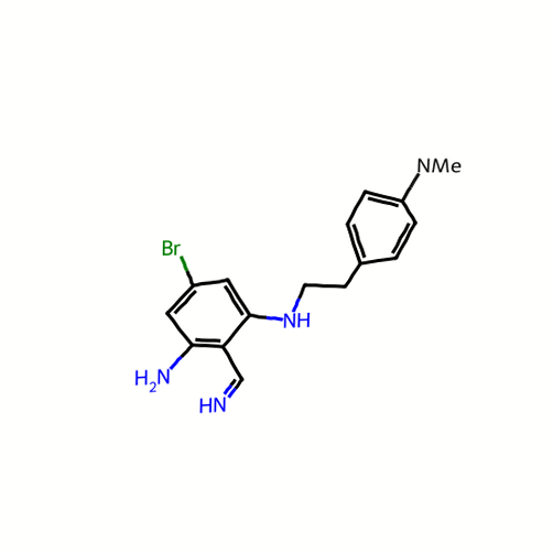 CNc1ccc(CCNc2cc(Br)cc(N)c2C=N)cc1